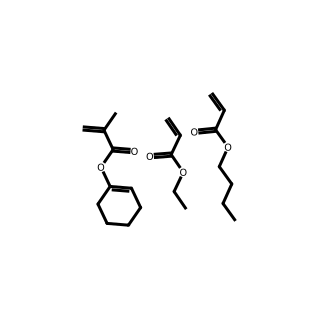 C=C(C)C(=O)OC1=CCCCC1.C=CC(=O)OCC.C=CC(=O)OCCCC